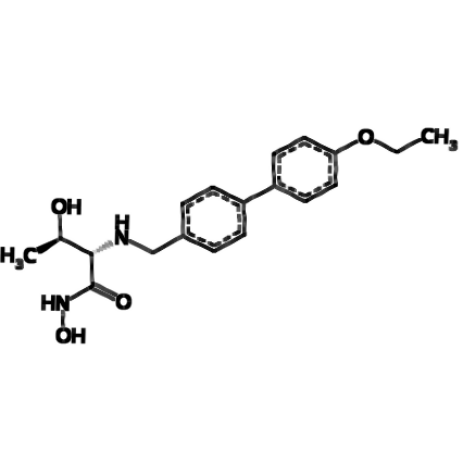 CCOc1ccc(-c2ccc(CN[C@H](C(=O)NO)[C@@H](C)O)cc2)cc1